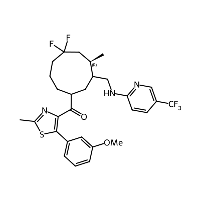 COc1cccc(-c2sc(C)nc2C(=O)C2CCCC(F)(F)C[C@@H](C)C(CNc3ccc(C(F)(F)F)cn3)C2)c1